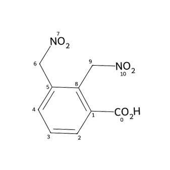 O=C(O)c1cccc(C[N+](=O)[O-])c1C[N+](=O)[O-]